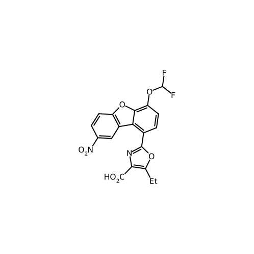 CCc1oc(-c2ccc(OC(F)F)c3oc4ccc([N+](=O)[O-])cc4c23)nc1C(=O)O